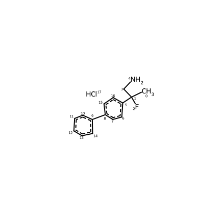 CC(F)(CN)c1ccc(-c2ccccc2)cc1.Cl